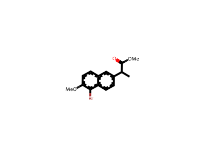 COC(=O)C(C)c1ccc2c(Br)c(OC)ccc2c1